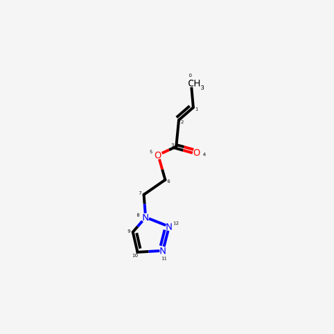 C/C=C/C(=O)OCCn1ccnn1